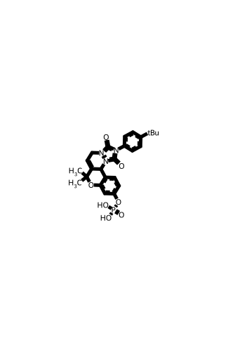 CC1(C)Oc2cc(OP(=O)(O)O)ccc2C2C1=CCn1c(=O)n(-c3ccc(C(C)(C)C)cc3)c(=O)n12